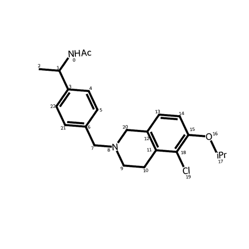 CC(=O)NC(C)c1ccc(CN2CCc3c(ccc(OC(C)C)c3Cl)C2)cc1